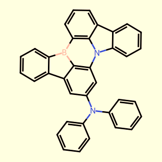 c1ccc(N(c2ccccc2)c2cc3c4c(c2)-n2c5ccccc5c5cccc(c52)B4c2ccccc2-3)cc1